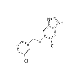 Clc1cccc(CSc2cc3nc[nH]c3cc2Cl)c1